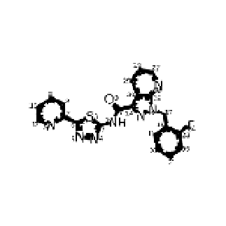 O=C(Nc1nnc(-c2ccccn2)s1)c1nn(Cc2ccccc2F)c2ncccc12